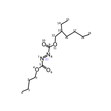 CCCCOC(=O)/N=N/C(=O)OCC(CC)CCCC